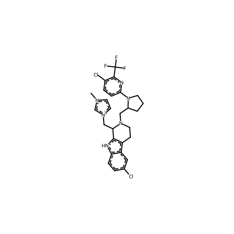 Cn1cc[n+](CC2c3[nH]c4ccc(Cl)cc4c3CCN2CC2CCCN2c2ccc(Cl)c(C(F)(F)F)n2)c1